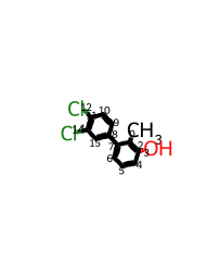 Cc1c(O)cccc1-c1ccc(Cl)c(Cl)c1